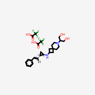 CC/C(=C\c1ccccc1)[C@@H]1C[C@H]1NC1CC2(CCN(C(CO)CO)CC2)C1.O=C(O)C(F)(F)F.O=C(O)C(F)(F)F